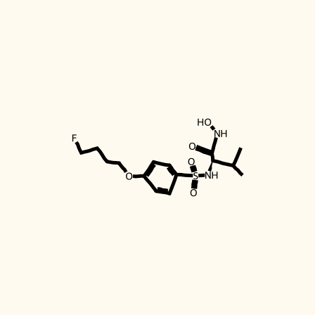 CC(C)[C@@H](NS(=O)(=O)c1ccc(OCCCCF)cc1)C(=O)NO